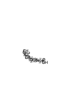 COc1ccc(COc2ccc3c(c2)CC2(C3)CN(C3CC(C(=O)O)C3)C2)c(C)n1